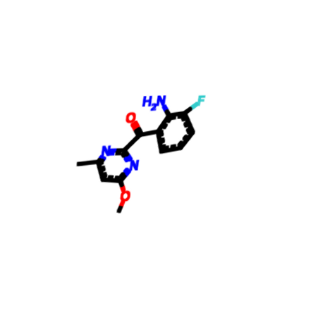 COc1cc(C)nc(C(=O)c2cccc(F)c2N)n1